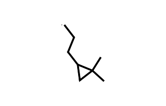 [CH2]CCC1CC1(C)C